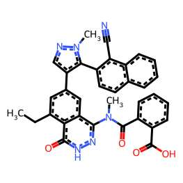 CCc1cc(-c2cnn(C)c2-c2ccc3ccccc3c2C#N)cc2c(N(C)C(=O)c3ccccc3C(=O)O)n[nH]c(=O)c12